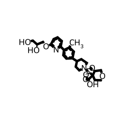 Cc1cc(C2CCN(S(=O)(=O)C3(C(=O)O)CCOCC3)CC2)ccc1-c1cccc(OC[C@@H](O)CO)n1